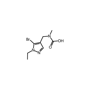 CCn1ncc(CN(C)C(=O)O)c1Br